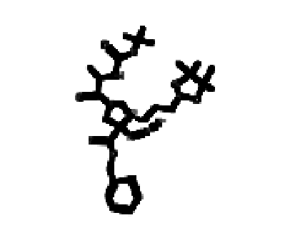 CC(NC(=O)OC(C)(C)C)C(=O)N1C[C@H](CCCB2OC(C)(C)C(C)(C)O2)C(N=[N+]=[N-])(C(=O)OCc2ccccc2)C1